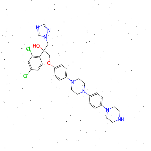 OC(COc1ccc(N2CCN(c3ccc(N4CCNCC4)cc3)CC2)cc1)(Cn1cncn1)c1ccc(Cl)cc1Cl